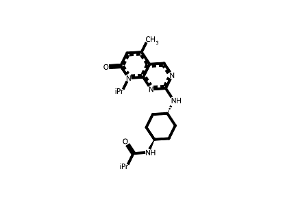 Cc1cc(=O)n(C(C)C)c2nc(N[C@H]3CC[C@H](NC(=O)C(C)C)CC3)ncc12